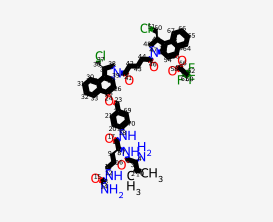 CC(C)[C@H](N)C(=O)N[C@@H](CCCNC(N)=O)C(=O)Nc1ccc(COc2cc3c(c4ccccc24)[C@H](CCl)CN3C(=O)CCCC(=O)N2C[C@@H](CCl)c3c2cc(OC(=O)C(F)(F)F)c2ccccc32)cc1